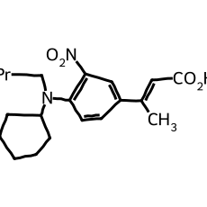 CC(=CC(=O)O)c1ccc(N(CC(C)C)C2CCCCC2)c([N+](=O)[O-])c1